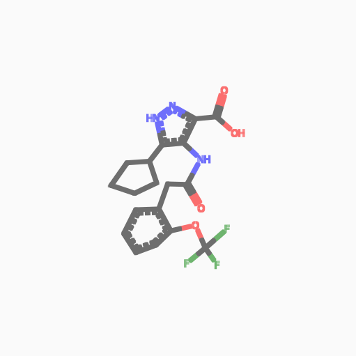 O=C(Cc1ccccc1OC(F)(F)F)Nc1c(C(=O)O)n[nH]c1C1CCCC1